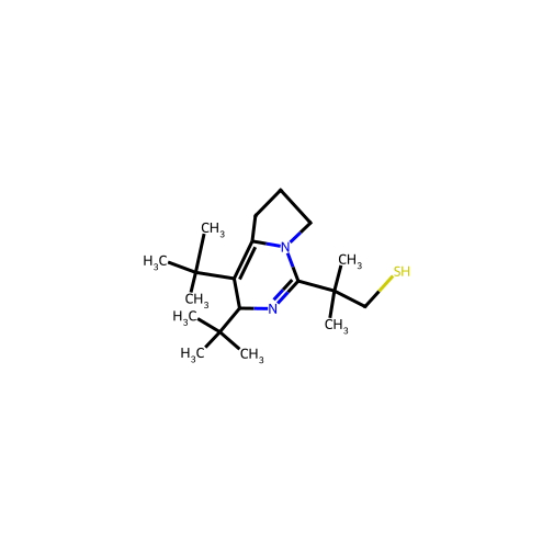 CC(C)(C)C1=C2CCCN2C(C(C)(C)CS)=NC1C(C)(C)C